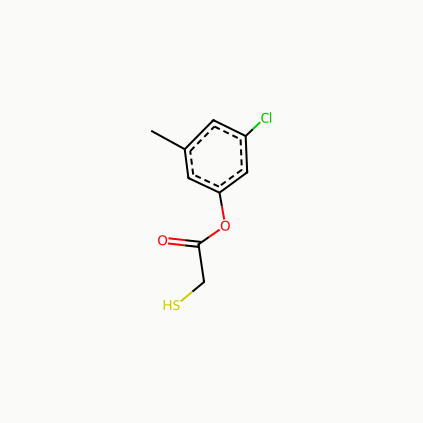 Cc1cc(Cl)cc(OC(=O)CS)c1